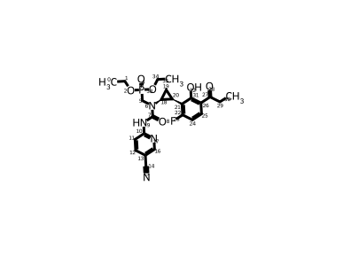 CCOP(=O)(CN(C(=O)Nc1ccc(C#N)cn1)[C@H]1C[C@H]1c1c(F)ccc(C(=O)CC)c1O)OCC